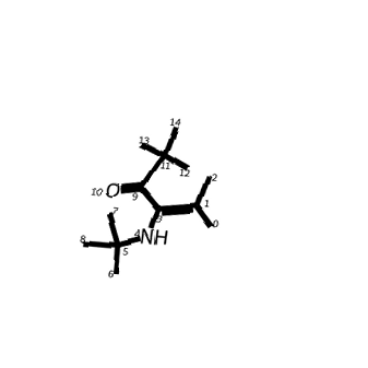 CC(C)=C(NC(C)(C)C)C(=O)C(C)(C)C